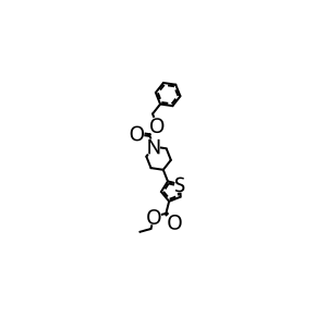 CCOC(=O)c1csc(C2CCN(C(=O)OCc3ccccc3)CC2)c1